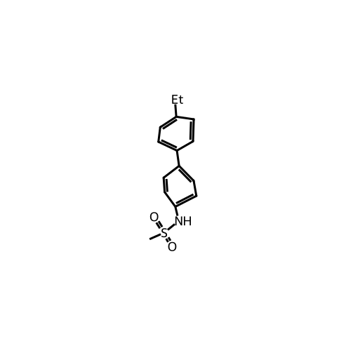 CCc1ccc(-c2ccc(NS(C)(=O)=O)cc2)cc1